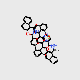 C[C@@H](NC(=O)c1ccc(-c2cccc3cccc(-c4ccc(-c5cccc6cccc(-c7ccc(C(=O)N[C@H](C)c8cccc9ccccc89)cc7)c56)c5nsnc45)c23)cc1)c1cccc2ccccc12